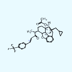 CC(=O)O[C@@]12CCC(N(C)C(=O)/C=C/c3ccc(C(F)(F)F)cc3)C3Oc4cccc5c4[C@@]31CCN(CC1CC1)[C@@H]2C5